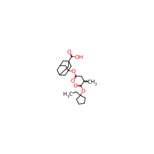 C=C(CC(=O)OC12CC3CC(C1)CC(C(=O)O)(C3)C2)C(=O)OC1(CC)CCCC1